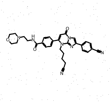 N#CCCCCn1c(-c2ccc(C(=O)NCCN3CCOCC3)cc2)cc(=O)n2cc(-c3ccc(C#N)cc3)nc12